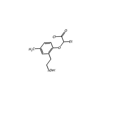 CCCCCCCCCCCCc1cc(C)ccc1OC(CC)C(=O)Cl